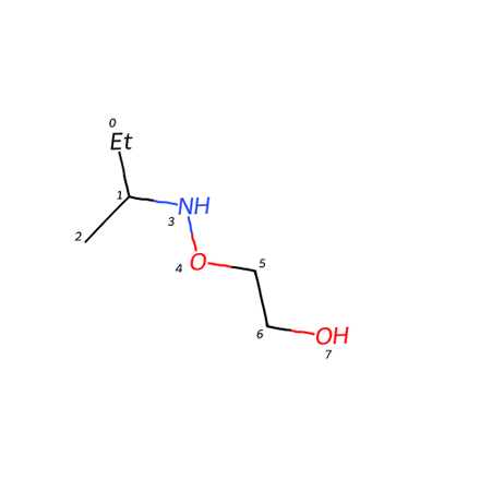 CCC(C)NOCCO